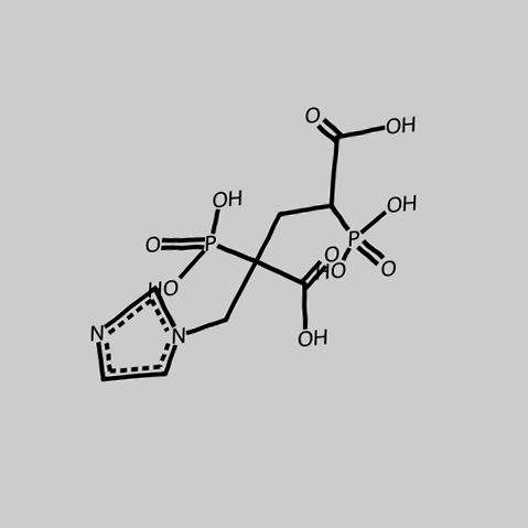 O=C(O)C(CC(Cn1ccnc1)(C(=O)O)P(=O)(O)O)P(=O)(O)O